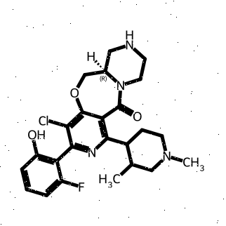 CC1CN(C)CCC1c1nc(-c2c(O)cccc2F)c(Cl)c2c1C(=O)N1CCNC[C@@H]1CO2